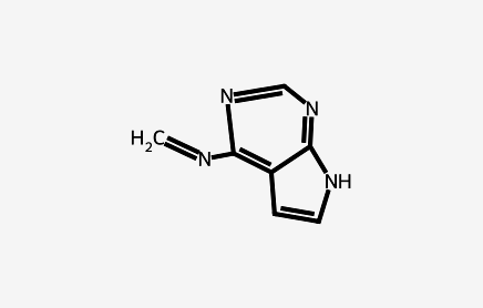 C=Nc1ncnc2[nH]ccc12